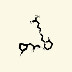 O=C(O)CCCSCCN1C(=O)CCC[C@@H]1/C=C/C(=O)Cc1cccc(F)c1